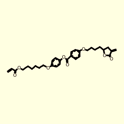 C=CC(=O)OCCCCCCOc1ccc(OC(=O)c2ccc(OCCCCC3CC(=C)C(=O)O3)cc2)cc1